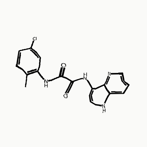 Cc1ccc(Cl)cc1NC(=O)C(=O)Nc1c[nH]c2cccnc12